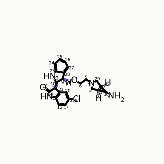 N[C@H]1[C@H]2CN(CCO/N=C3/C(=C4/C(=O)Nc5ccc(Cl)cc54)Nc4ccccc43)C[C@@H]12